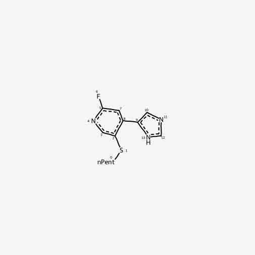 CCCCCSc1cnc(F)cc1-c1cnc[nH]1